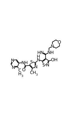 Cc1ncncc1NC(=O)c1sc(Nc2snc(O)c2C(=N)NCN2CCOCC2)nc1C